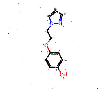 Oc1ccc(OCCn2cccn2)cc1